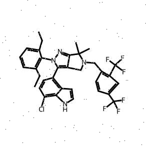 CCc1cccc(CC)c1-n1nc2c(c1-c1ccc(Cl)c3[nH]ccc13)CN(Cc1ccc(C(F)(F)F)cc1C(F)(F)F)C2(C)C